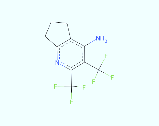 Nc1c2c(nc(C(F)(F)F)c1C(F)(F)F)CCC2